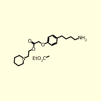 CCOC(C)=O.NCCCCc1ccc(OCC(=O)OCCN2CCCCC2)cc1